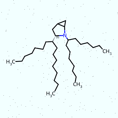 CCCCCCCCC(CCCCCCC)[C@@H]1CC2CC2N1C(CCCCCC)CCCCCCC